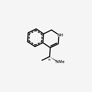 CN[C@H](C)C1=CNCc2ccccc21